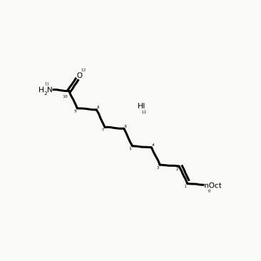 CCCCCCCCC=CCCCCCCCC(N)=O.I